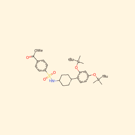 COC(=O)c1ccc(S(=O)(=O)NC2CCC(c3ccc(O[Si](C)(C)C(C)(C)C)cc3O[Si](C)(C)C(C)(C)C)CC2)cc1